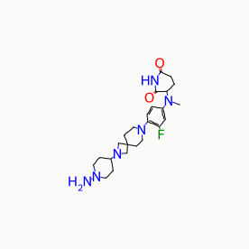 CN(c1ccc(N2CCC3(CC2)CN(C2CCN(N)CC2)C3)c(F)c1)C1CCC(=O)NC1=O